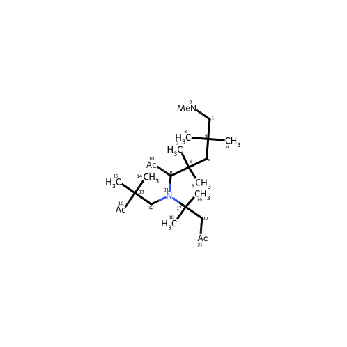 CNCC(C)(C)CC(C)(C)C(C(C)=O)N(CC(C)(C)C(C)=O)C(C)(C)CC(C)=O